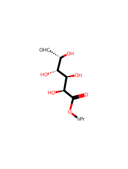 CCCOC(=O)[C@@H](O)[C@H](O)[C@H](O)[C@@H](O)C=O